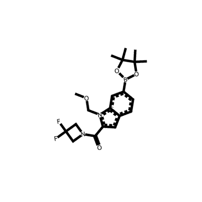 COCn1c(C(=O)N2CC(F)(F)C2)cc2ccc(B3OC(C)(C)C(C)(C)O3)cc21